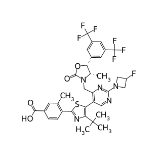 Cc1cc(C(=O)O)ccc1-c1nc(C(C)(C)C)c(-c2cnc(N3CC(F)C3)nc2CN2C(=O)O[C@H](c3cc(C(F)(F)F)cc(C(F)(F)F)c3)[C@@H]2C)s1